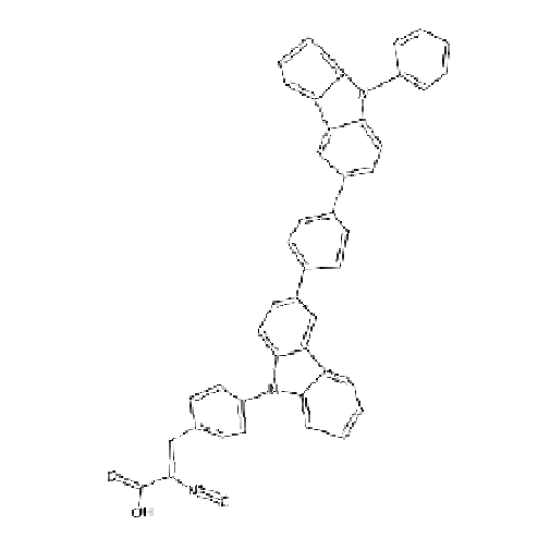 [C-]#[N+]/C(=C\c1ccc(-n2c3ccccc3c3cc(-c4ccc(-c5ccc6c(c5)c5ccccc5n6-c5ccccc5)cc4)ccc32)cc1)C(=O)O